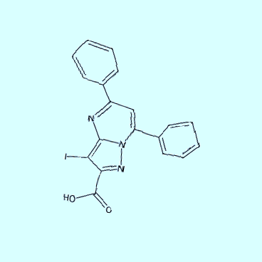 O=C(O)c1nn2c(-c3ccccc3)cc(-c3ccccc3)nc2c1I